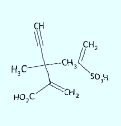 C#CC(C)(C)C(=C)C(=O)O.C=CS(=O)(=O)O